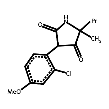 COc1ccc(C2C(=O)NC(C)(C(C)C)C2=O)c(Cl)c1